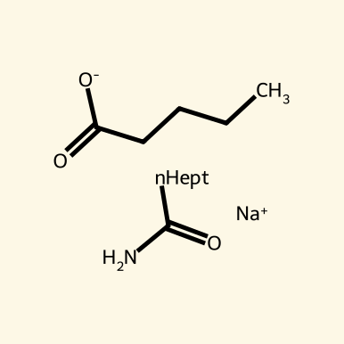 CCCCC(=O)[O-].CCCCCCCC(N)=O.[Na+]